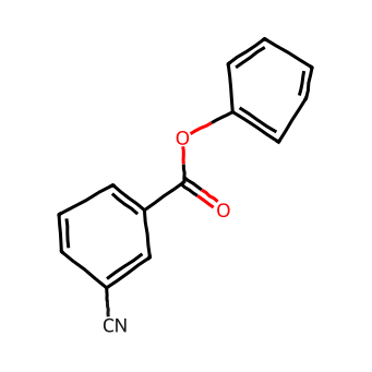 N#Cc1cccc(C(=O)Oc2ccccc2)c1